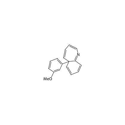 COc1cccc(C23C=CC=CN=C2C=CC=C3)c1